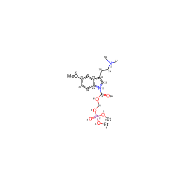 CCOP(=O)(OCC)OCOC(=O)n1cc(CCN(C)C)c2cc(OC)ccc21